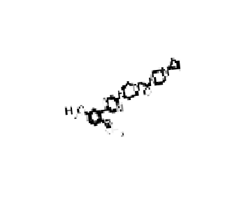 COc1ccc(C)cc1-c1cnc(N2CCN(CC(=O)N3CCN(C4CCC4)CC3)CC2)cn1